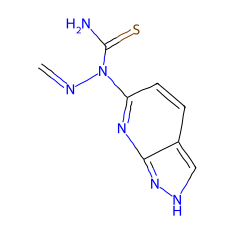 C=NN(C(N)=S)c1ccc2c[nH]nc2n1